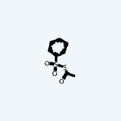 CC(=O)SS(=O)(=O)c1ccccc1